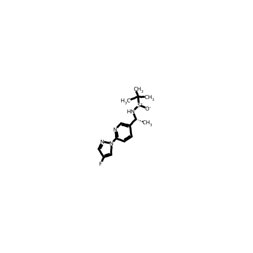 C[C@@H](N[S+]([O-])C(C)(C)C)c1ccc(-n2cc(F)cn2)nc1